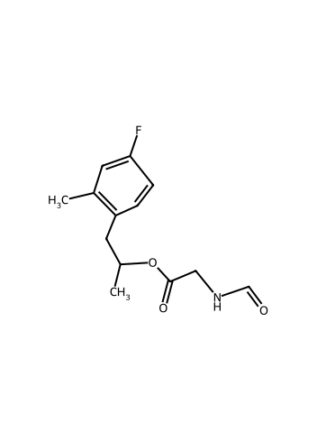 Cc1cc(F)ccc1CC(C)OC(=O)CNC=O